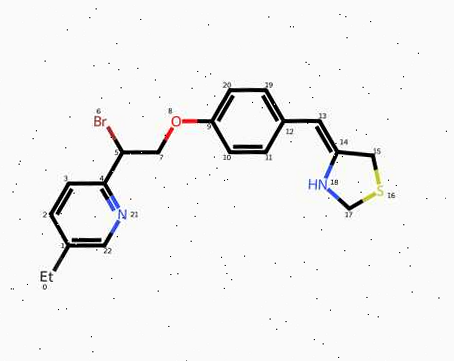 CCc1ccc(C(Br)COc2ccc(C=C3CSCN3)cc2)nc1